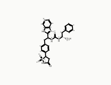 O=C1CC(c2ccc(CC(NC(=O)N[C@H](Cc3ccccc3)C(=O)O)c3nc4ccncc4[nH]3)cc2)S(=O)(=O)N1